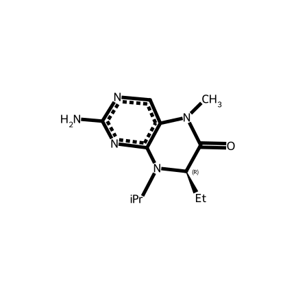 CC[C@@H]1C(=O)N(C)c2cnc(N)nc2N1C(C)C